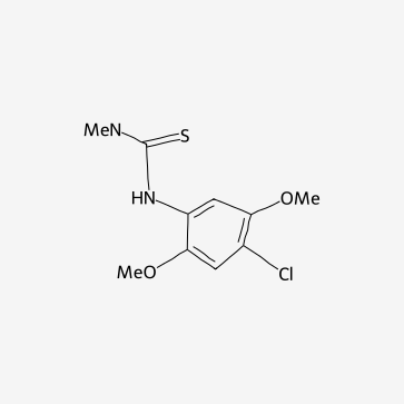 CNC(=S)Nc1cc(OC)c(Cl)cc1OC